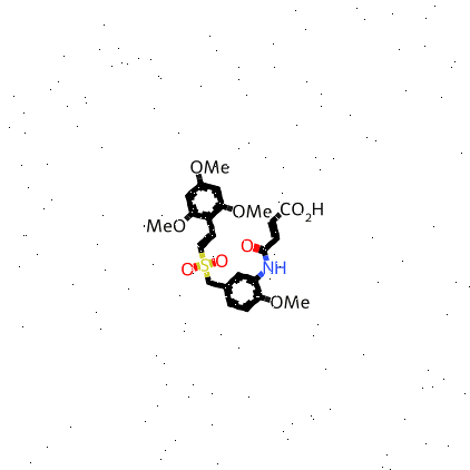 COc1cc(OC)c(C=CS(=O)(=O)Cc2ccc(OC)c(NC(=O)C=CC(=O)O)c2)c(OC)c1